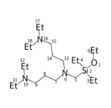 CCO[Si](CC)(CC)CN(CCCN(CC)CC)CCCN(CC)CC